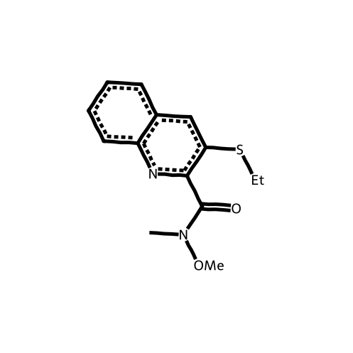 CCSc1cc2ccccc2nc1C(=O)N(C)OC